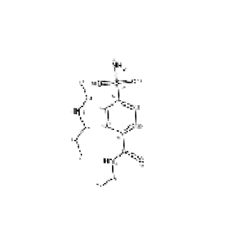 CCCNCC.CCNC(=O)c1ccc(S(N)(=O)=O)cc1